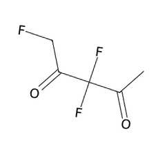 CC(=O)C(F)(F)C(=O)CF